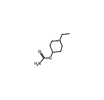 CCN1CCC(OC(N)=O)CC1